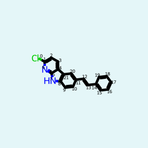 Clc1ccc2c(n1)[nH]c1ccc(C=Cc3ccccc3)cc12